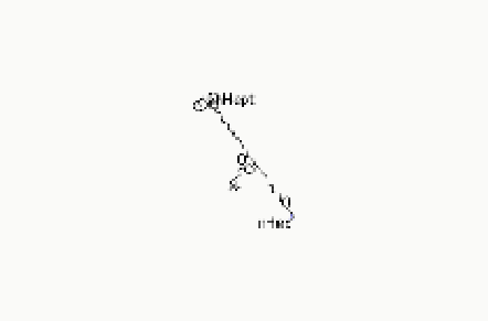 CCCCCC/C=C\COCCCCCCCCCCC(CCCCCCCCCCOC1(OCCCCCCC)CCOCC1)OC(=O)CCCN(C)C